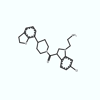 NCCN1CC(C(=O)N2CCC(c3cccc4c3OCC4)CC2)c2ccc(Cl)cc21